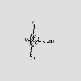 C#CCOCCOCCNC(=O)CCC(CCC(=O)NCCOCCOCC#C)(CCC(=O)NCCOCCOCC#C)NC(C)=O